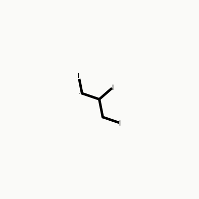 I[CH]C(I)CI